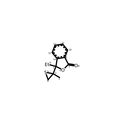 CCC1(C2(C)CS2)OC(=O)c2ccccc21